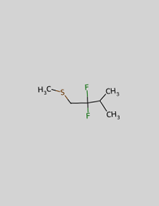 CSCC(F)(F)C(C)C